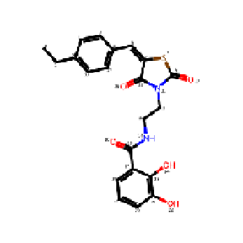 CCc1ccc(C=C2SC(=O)N(CCNC(=O)c3cccc(O)c3O)C2=O)cc1